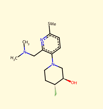 CSc1ccc(N2CC[C@@H](F)[C@H](O)C2)c(CN(C)C)n1